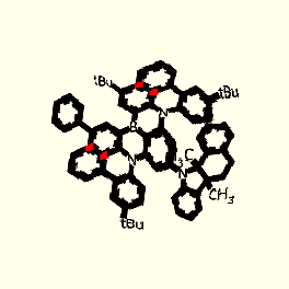 CC(C)(C)c1ccc2c(c1)B1c3cc(-c4ccccc4)ccc3N(c3ccc(C(C)(C)C)cc3-c3ccccc3)c3cc(N4c5ccccc5C5(C)CCc6ccccc6C45C)cc(c31)N2c1ccc(C(C)(C)C)cc1-c1ccccc1